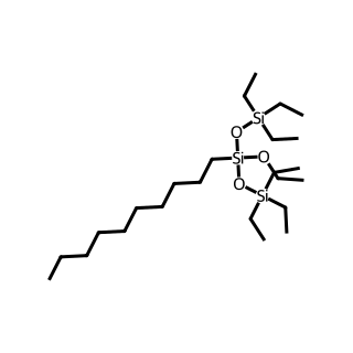 CCCCCCCCCC[Si](OCC)(O[Si](CC)(CC)CC)O[Si](CC)(CC)CC